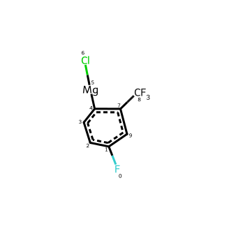 Fc1cc[c]([Mg][Cl])c(C(F)(F)F)c1